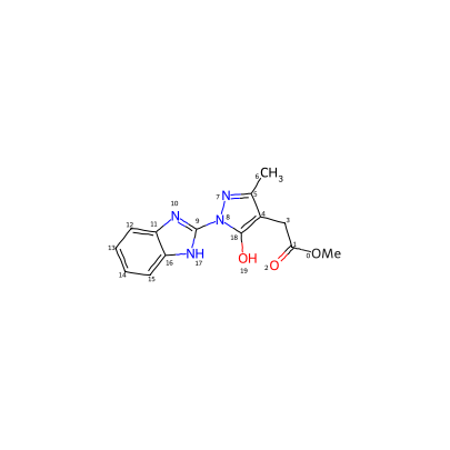 COC(=O)Cc1c(C)nn(-c2nc3ccccc3[nH]2)c1O